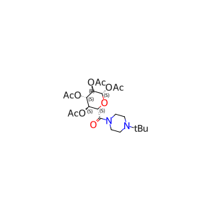 CC(=O)O[C@@H]1O[C@H](C(=O)N2CCN(C(C)(C)C)CC2)[C@@H](OC(C)=O)[C@H](OC(C)=O)[C@H]1OC(C)=O